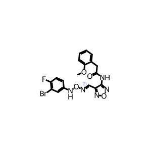 COc1ccccc1CC(=O)Nc1nonc1/C=N/ONc1ccc(F)c(Br)c1